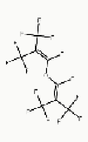 FC(OC(F)=C(C(F)(F)F)C(F)(F)F)=C(C(F)(F)F)C(F)(F)F